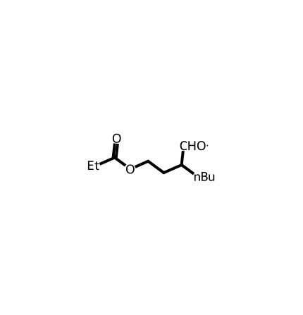 CCCCC([C]=O)CCOC(=O)CC